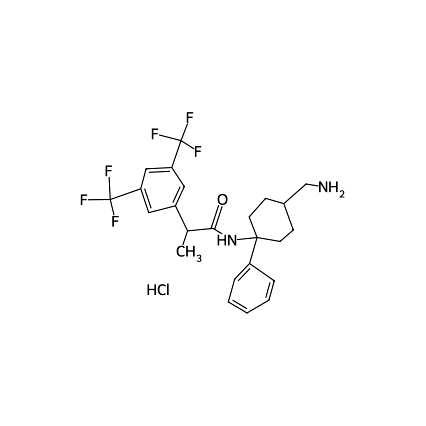 CC(C(=O)NC1(c2ccccc2)CCC(CN)CC1)c1cc(C(F)(F)F)cc(C(F)(F)F)c1.Cl